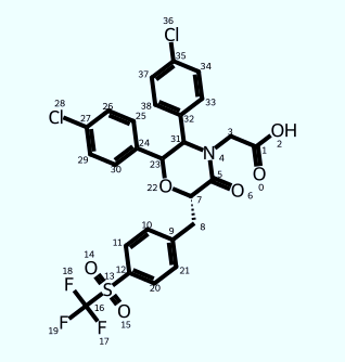 O=C(O)CN1C(=O)[C@H](Cc2ccc(S(=O)(=O)C(F)(F)F)cc2)OC(c2ccc(Cl)cc2)C1c1ccc(Cl)cc1